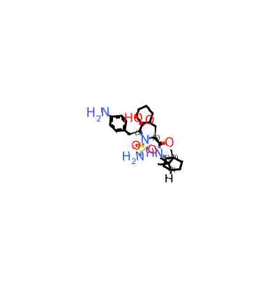 CC1(C)[C@@H]2CC[C@@]1(C)[C@@H](NC(=O)[C@H](CC1CCCCC1)N([C@@H](Cc1ccc(N)cc1)C(=O)O)S(N)(=O)=O)C2